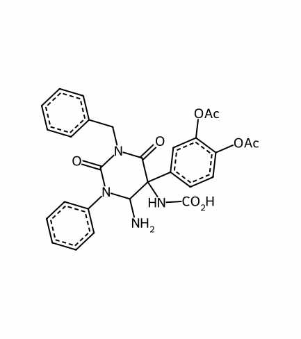 CC(=O)Oc1ccc(C2(NC(=O)O)C(=O)N(Cc3ccccc3)C(=O)N(c3ccccc3)C2N)cc1OC(C)=O